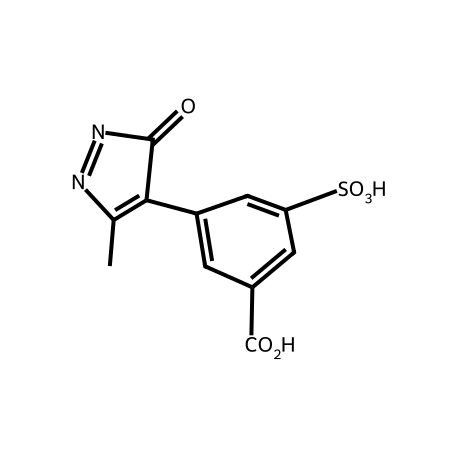 CC1=C(c2cc(C(=O)O)cc(S(=O)(=O)O)c2)C(=O)N=N1